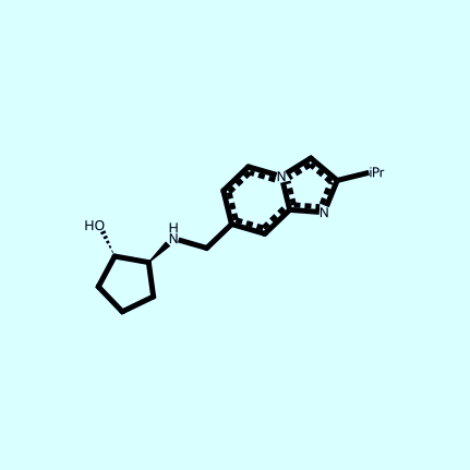 CC(C)c1cn2ccc(CN[C@H]3CCC[C@@H]3O)cc2n1